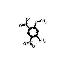 COc1cc(N)c([N+](=O)[O-])cc1[N+](=O)[O-]